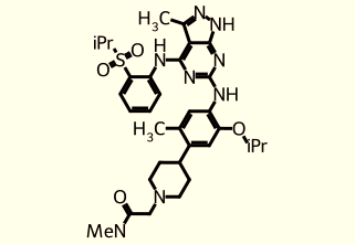 CNC(=O)CN1CCC(c2cc(OC(C)C)c(Nc3nc(Nc4ccccc4S(=O)(=O)C(C)C)c4c(C)n[nH]c4n3)cc2C)CC1